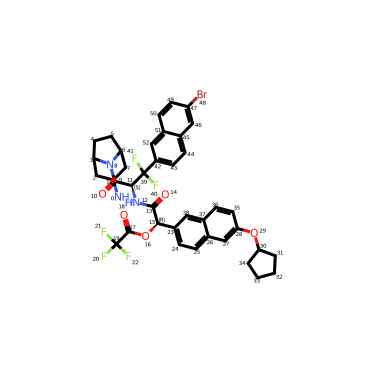 NC1CC2CCC(C1)N2C(=O)[C@H](NC(=O)[C@H](OC(=O)C(F)(F)F)c1ccc2cc(OC3CCCC3)ccc2c1)C(F)(F)c1ccc2cc(Br)ccc2c1